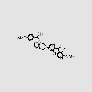 CNc1nccc(C(=O)c2ncc(N3CCC4(CCC[C@H]4NC(C)c4ccc(OC)cc4)CC3)nc2Cl)c1Cl